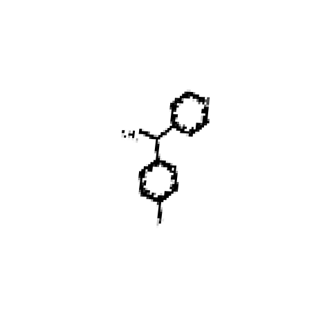 CC(c1ccncc1)c1ccc(F)cc1.N